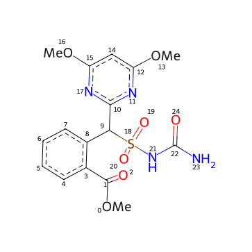 COC(=O)c1ccccc1C(c1nc(OC)cc(OC)n1)S(=O)(=O)NC(N)=O